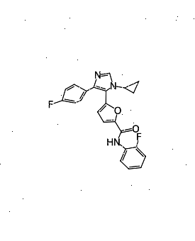 O=C(Nc1ccccc1F)c1ccc(-c2c(-c3ccc(F)cc3)ncn2C2CC2)o1